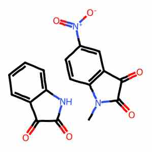 CN1C(=O)C(=O)c2cc([N+](=O)[O-])ccc21.O=C1Nc2ccccc2C1=O